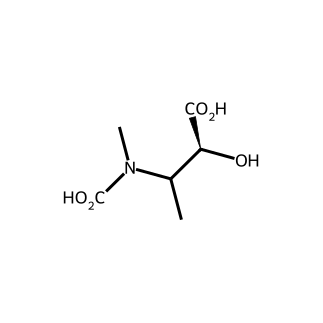 CC([C@H](O)C(=O)O)N(C)C(=O)O